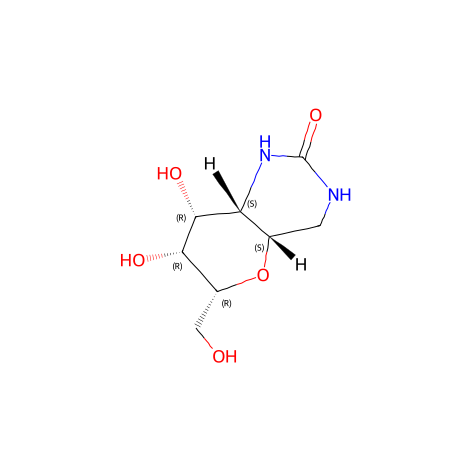 O=C1NC[C@@H]2O[C@H](CO)[C@H](O)[C@H](O)[C@@H]2N1